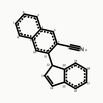 N#Cc1cc2ccccc2cc1C1C=Cc2ccccc21